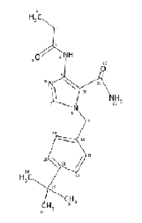 CCC(=O)Nc1ncn(Cc2ccc(C(C)(C)C)cc2)c1C(N)=O